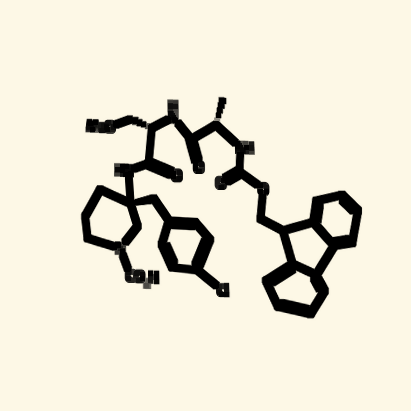 COC[C@H](NC(=O)[C@H](C)NC(=O)OCC1c2ccccc2-c2ccccc21)C(=O)N[C@@]1(Cc2ccc(Cl)cc2)CCCN(C(=O)O)C1